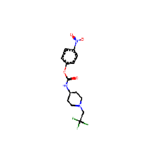 O=C(NC1CCN(CC(F)(F)F)CC1)Oc1ccc([N+](=O)[O-])cc1